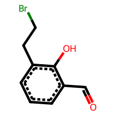 O=Cc1cccc(CCBr)c1O